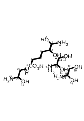 NC(O)C(O)CCCC(=O)O.NC(O)CO.NC(O)CO.NC(O)CO